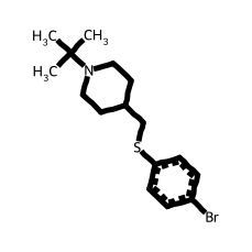 CC(C)(C)N1CCC(CSc2ccc(Br)cc2)CC1